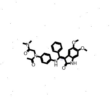 COc1cc2c(cc1OC)/C(=C(/Nc1ccc(N(CC(=O)N(C)C)C(C)=O)cc1)c1ccccc1)C(=O)N2